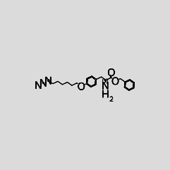 [N-]=[N+]=NCCCCCCOc1ccc(C[C@H](N)C(=O)OCc2ccccc2)cc1